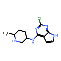 CC1CCC(Nc2nc(Cl)nc3[nH]ccc23)CN1